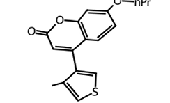 CCCOc1ccc2c(-c3cscc3C)cc(=O)oc2c1